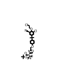 CC(C)(C)OC(=O)N(c1coc(COc2ccc(C(C)(C)c3cc(Cl)c(OCCCl)c(C#N)c3)cc2)n1)S(C)(=O)=O